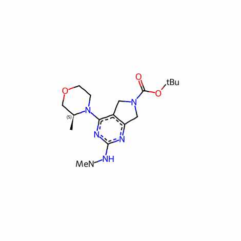 CNNc1nc2c(c(N3CCOC[C@@H]3C)n1)CN(C(=O)OC(C)(C)C)C2